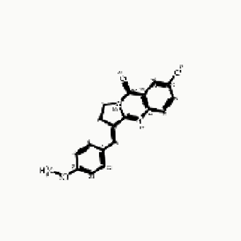 COc1ccc(C=C2CCn3c2nc2ccc(Cl)cc2c3=O)cc1